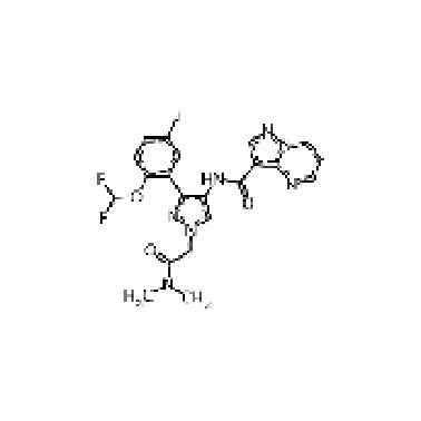 CN(C)C(=O)Cn1cc(NC(=O)c2cnn3cccnc23)c(-c2cc(I)ccc2OC(F)F)n1